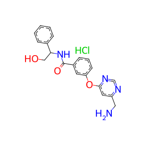 Cl.NCc1cc(Oc2cccc(C(=O)NC(CO)c3ccccc3)c2)ncn1